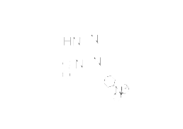 CC(C)(C)CN1CCCN(CCc2ccc([N+](=O)[O-])cc2)CCN(CC(=O)OC(C)(C)C)CCCNCC1